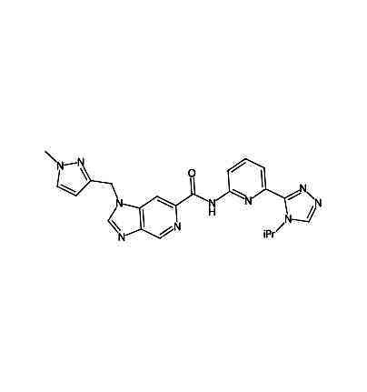 CC(C)n1cnnc1-c1cccc(NC(=O)c2cc3c(cn2)ncn3Cc2ccn(C)n2)n1